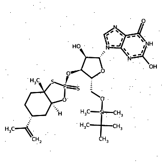 C=C(C)[C@@H]1CC[C@]2(C)S[P@@](=S)(O[C@H]3[C@@H](O)[C@H](n4cnc5c(=O)[nH]c(O)nc54)O[C@@H]3CO[Si](C)(C)C(C)(C)C)O[C@H]2C1